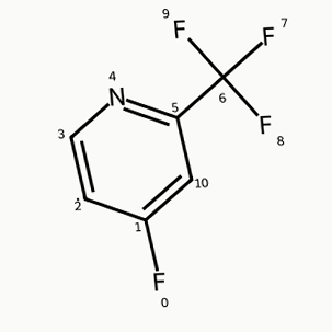 Fc1[c]cnc(C(F)(F)F)c1